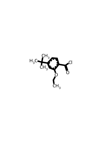 CCOc1cc(C(C)(C)C)ccc1C(=O)Cl